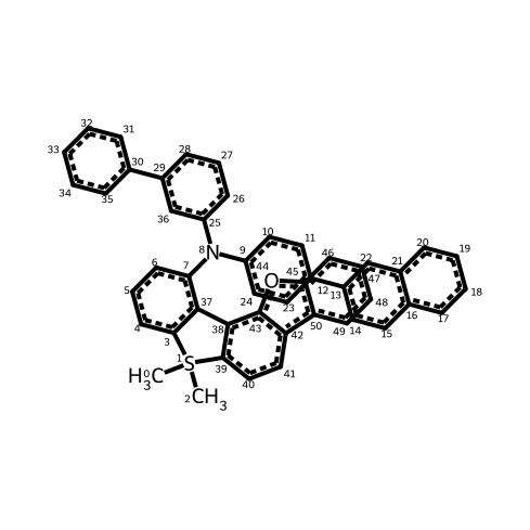 CS1(C)c2cccc(N(c3ccc(-c4ccc5ccccc5c4)cc3)c3cccc(-c4ccccc4)c3)c2-c2c1ccc1c2oc2ccccc21